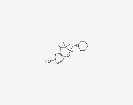 CC1c2cc(O)ccc2OC(C)(CN2CCCCC2)C1(C)C